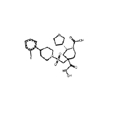 O=C(O)N1CCC(CS(=O)(=O)N2CCC(c3ccccc3F)CC2)(C(=O)NO)CC1[C@@H]1CCOC1